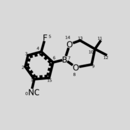 [C-]#[N+]c1ccc(F)c(B2OCC(C)(C)CO2)c1